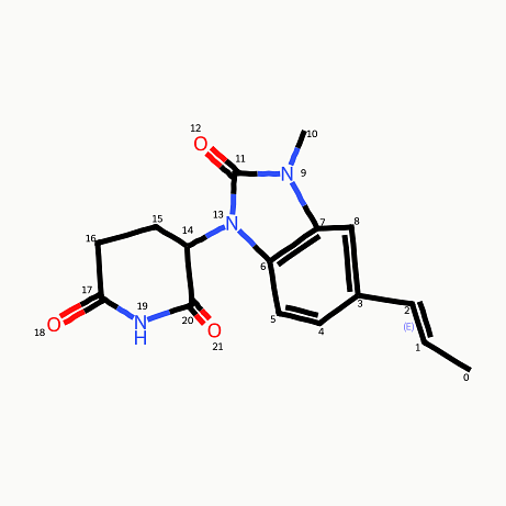 C/C=C/c1ccc2c(c1)n(C)c(=O)n2C1CCC(=O)NC1=O